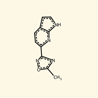 Cc1nc(-c2ccc3cc[nH]c3n2)no1